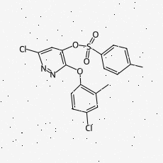 Cc1ccc(S(=O)(=O)Oc2cc(Cl)nnc2Oc2ccc(Cl)cc2C)cc1